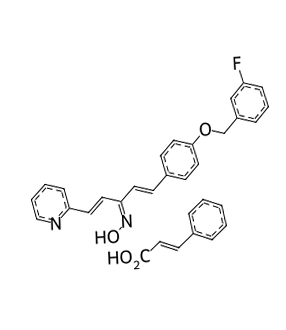 O=C(O)C=Cc1ccccc1.ON=C(C=Cc1ccc(OCc2cccc(F)c2)cc1)C=Cc1ccccn1